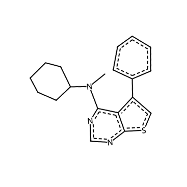 CN(c1ncnc2scc(-c3ccccc3)c12)C1CCCCC1